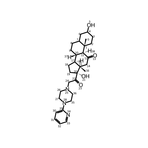 C[C@]12CCC(O)CC1CC[C@@H]1[C@@H]2C(=O)C[C@@]2(C)[C@H]1CC[C@]2(O)C(=O)CN1CCN(c2ccccn2)CC1